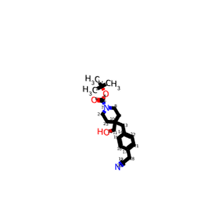 CC(C)(C)OC(=O)N1CCC(CO)(Cc2ccc(CC#N)cc2)CC1